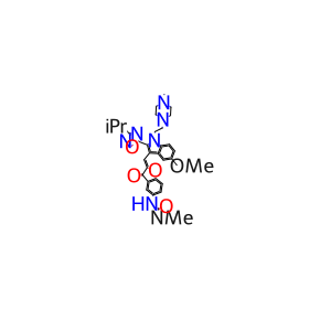 CNC(=O)Nc1ccc2c(c1)C(=O)/C(=C/c1c(-c3nc(C(C)C)no3)n(CCN3CCN(C)CC3)c3ccc(OC)cc13)O2